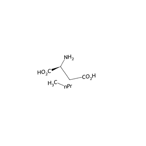 CCCC.N[C@@H](CC(=O)O)C(=O)O